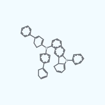 C1=CCCC(c2ccc(N(C3=CC=C(c4ccccc4)CC3)c3cccc4cc5c(cc34)C3CC=CC=C3N5c3ccccc3)cc2)=C1